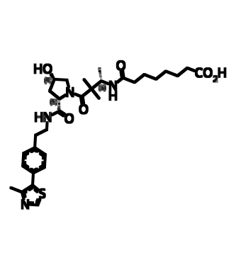 Cc1ncsc1-c1ccc(CCNC(=O)[C@@H]2C[C@@H](O)CN2C(=O)C(C)(C)[C@H](C)NC(=O)CCCCCCC(=O)O)cc1